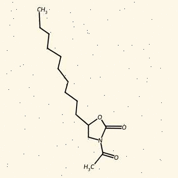 CCCCCCCCCCC1CN(C(C)=O)C(=O)O1